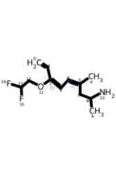 C=C/C(=C\C=C(\C)CC(C)N)OCC(F)F